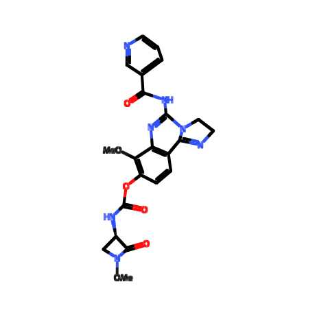 COc1c(OC(=O)N[C@@H]2CN(OC)C2=O)ccc2c1N=C(NC(=O)c1cccnc1)N1CCN=C21